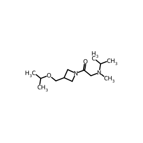 CC(C)OCC1CN(C(=O)CN(C)C(C)C)C1